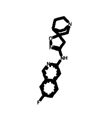 Fc1ccc2cc(NC3=NOC4(C3)CN3CCC4CC3)ncc2c1